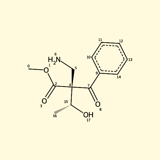 COC(=O)[C@](CN)(C(=O)c1ccccc1)[C@@H](C)O